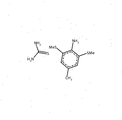 CSc1cc(C)cc(SC)c1N.NC(N)=S